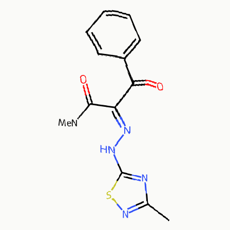 CNC(=O)/C(=N\Nc1nc(C)ns1)C(=O)c1ccccc1